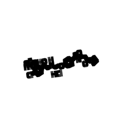 CS(=O)(=O)Nc1cc(C(O)CNCCOc2ccc(-c3coc(CC(=O)N4CCC4)n3)cc2)ccc1Cl.Cl